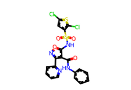 O=C(Nc1ccccc1)c1c(-c2ccccn2)noc1NS(=O)(=O)c1cc(Cl)sc1Cl